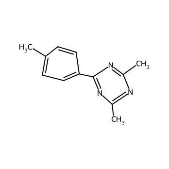 Cc1ccc(-c2nc(C)nc(C)n2)cc1